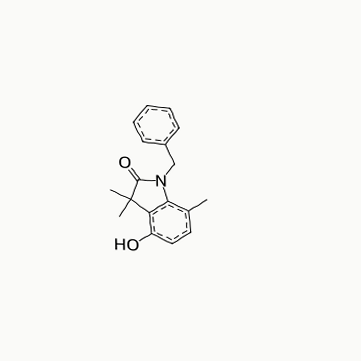 Cc1ccc(O)c2c1N(Cc1ccccc1)C(=O)C2(C)C